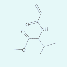 C=CC(=O)NC(C(=O)OC)C(C)C